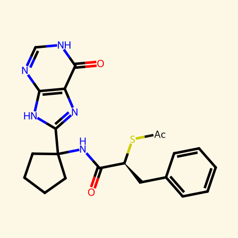 CC(=O)S[C@@H](Cc1ccccc1)C(=O)NC1(c2nc3c(=O)[nH]cnc3[nH]2)CCCC1